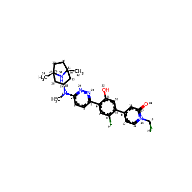 CN(c1ccc(-c2cc(F)c(-c3ccn(CF)c(=O)c3)cc2O)nn1)[C@H]1C[C@]2(C)CC[C@](C)(C1)N2